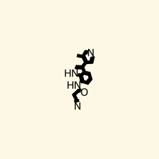 Cc1cnccc1-c1c[nH]c2c(NC(=O)CC#N)cccc12